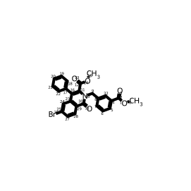 COC(=O)c1cccc(Cn2c(C(=O)OC)c(-c3ccccc3)c3cc(Br)ccc3c2=O)c1